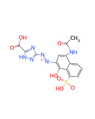 CC(=O)Nc1cc(/N=N/c2n[nH]c(C(=O)O)n2)c(O)c2c(S(=O)(=O)O)cccc12